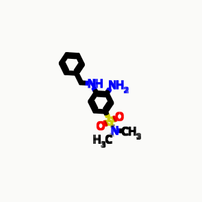 CN(C)S(=O)(=O)c1ccc(NCc2ccccc2)c(N)c1